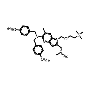 COc1ccc(CN(Cc2ccc(OC)cc2)c2nc3cc(CN(C)C(C)=O)n(COCC[Si](C)(C)C)c3cc2C)cc1